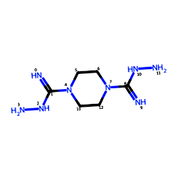 N=C(NN)N1CCN(C(=N)NN)CC1